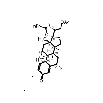 CCCC(=O)O[C@]1(C(=O)COC(C)=O)CC[C@H]2[C@@H]3C[C@H](F)C4=CC(=O)C=C[C@]4(C)[C@@]34O[C@H]4C[C@@]21C